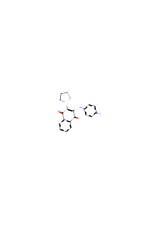 Nc1ccc(NC2=C(N3CCCC3)C(=O)c3ccccc3C2=O)cc1